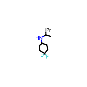 CC(C)C(C)NC1CCC(F)(F)CC1